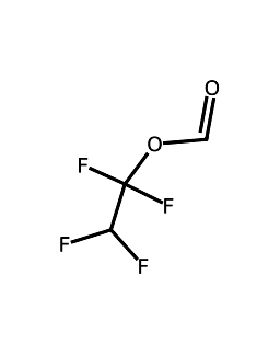 O=COC(F)(F)C(F)F